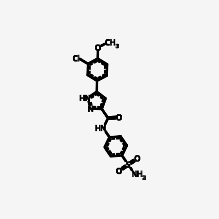 COc1ccc(-c2cc(C(=O)Nc3ccc(S(N)(=O)=O)cc3)n[nH]2)cc1Cl